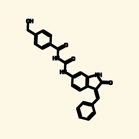 O=C(NC(=O)c1ccc(CO)cc1)Nc1ccc2c(c1)NC(=O)/C2=C/c1ccccc1